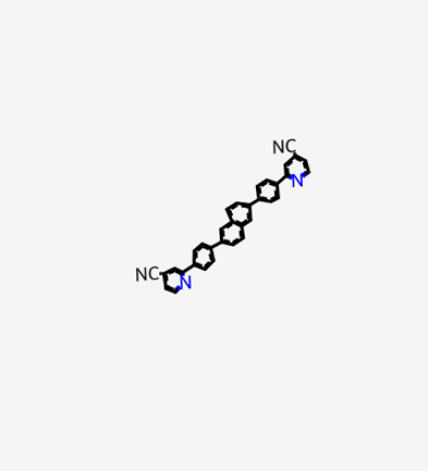 N#Cc1ccnc(-c2ccc(-c3ccc4cc(-c5ccc(-c6cc(C#N)ccn6)cc5)ccc4c3)cc2)c1